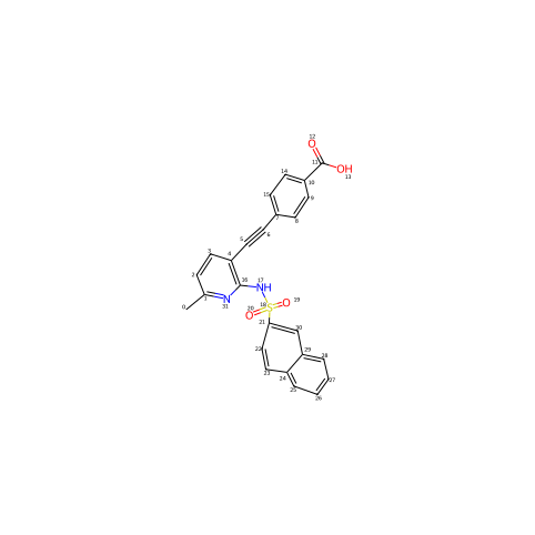 Cc1ccc(C#Cc2ccc(C(=O)O)cc2)c(NS(=O)(=O)c2ccc3ccccc3c2)n1